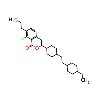 CCCc1ccc2c(c1F)C(=O)OC(C1CCC(CCC3CCC(CC)CC3)CC1)C2